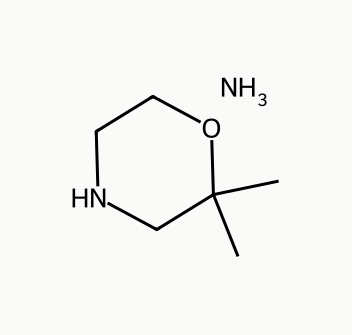 CC1(C)CNCCO1.N